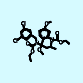 CCOC(=O)N1c2cc(OC)ccc2C(OC)(N(Cc2cc(Cl)cc(Cl)c2)C(=O)OCC)CC1C